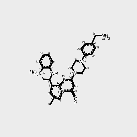 Cc1cc(C(C)Nc2ccccc2C(=O)O)c2nc(N3CCN(c4ccc(CN)cc4)CC3)cc(=O)n2c1